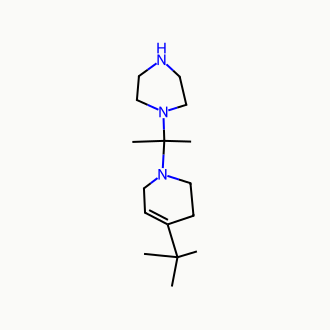 CC(C)(C)C1=CCN(C(C)(C)N2CCNCC2)CC1